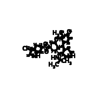 CC(C)NC(=O)[C@@H]1CN(S(=O)(=O)c2ccc3c(Cl)c[nH]c3c2)CC(=O)N1C(c1ccc(=O)n(C)n1)C1CCNCC1